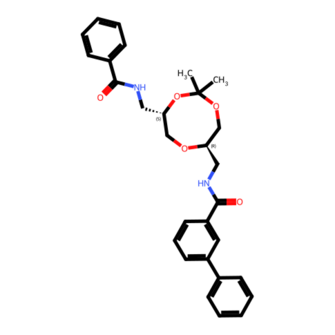 CC1(C)OC[C@@H](CNC(=O)c2cccc(-c3ccccc3)c2)OC[C@H](CNC(=O)c2ccccc2)O1